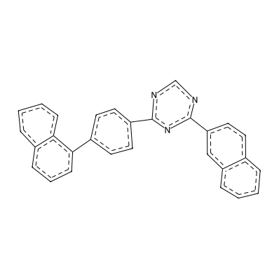 c1ccc2cc(-c3ncnc(-c4ccc(-c5cccc6ccccc56)cc4)n3)ccc2c1